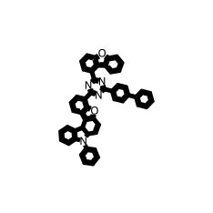 C1=CC2C(c3ccccc3N2c2ccccc2)c2c1oc1c(-c3nc(-c4ccc(-c5ccccc5)cc4)nc(-c4cccc5oc6ccccc6c45)n3)cccc21